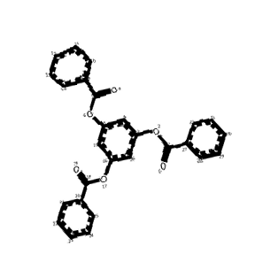 O=C(Oc1cc(OC(=O)c2ccccc2)cc(OC(=O)c2ccccc2)c1)c1ccccc1